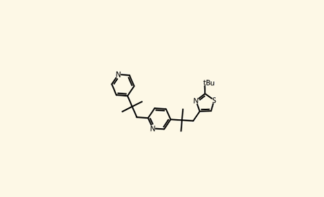 CC(C)(C)c1nc(CC(C)(C)c2ccc(CC(C)(C)c3ccncc3)nc2)cs1